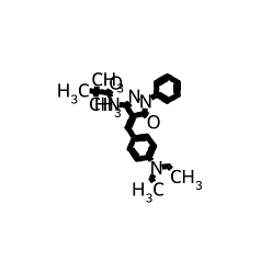 CCN(CC)c1ccc(/C=C2\C(=O)N(c3ccccc3)N=C2NC(=O)C(C)(C)C)cc1